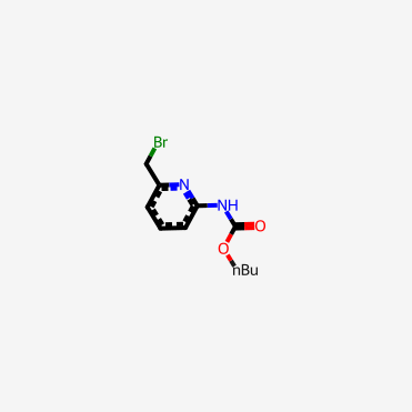 CCCCOC(=O)Nc1cccc(CBr)n1